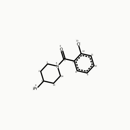 CC(C)C1CCN(C(=O)c2ccccc2Cl)CC1